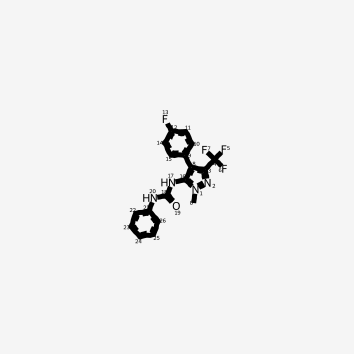 Cn1nc(C(F)(F)F)c(-c2ccc(F)cc2)c1NC(=O)Nc1ccccc1